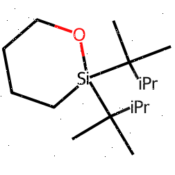 CC(C)C(C)(C)[Si]1(C(C)(C)C(C)C)CCCCO1